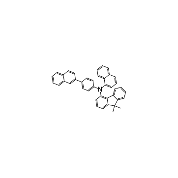 CC1(C)c2ccccc2-c2c(N(c3ccc(-c4ccc5ccccc5c4)cc3)c3cccc4ccccc34)cccc21